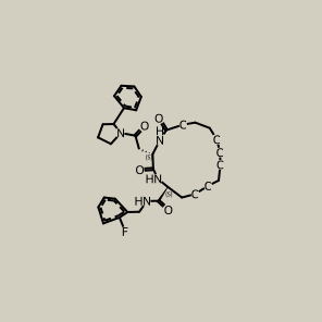 O=C1CCCCCCCCCC[C@@H](C(=O)NCc2ccccc2F)NC(=O)[C@H](CC(=O)N2CCCC2c2ccccc2)N1